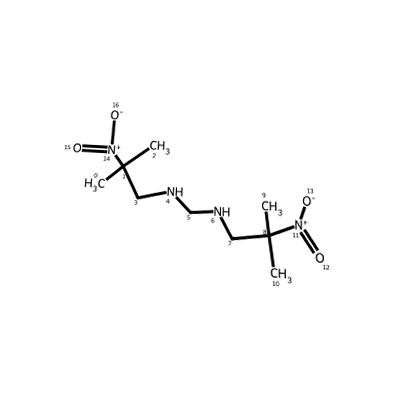 CC(C)(CNCNCC(C)(C)[N+](=O)[O-])[N+](=O)[O-]